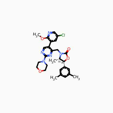 COc1ncc(Cl)cc1-c1cnc(N2CCOCC2)nc1CN1C(=O)O[C@H](c2cc(C)cc(C)c2)[C@@H]1C